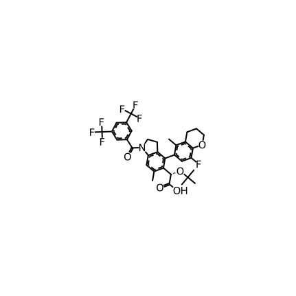 Cc1cc2c(c(-c3cc(F)c4c(c3C)CCCO4)c1[C@H](OC(C)(C)C)C(=O)O)CCN2C(=O)c1cc(C(F)(F)F)cc(C(F)(F)F)c1